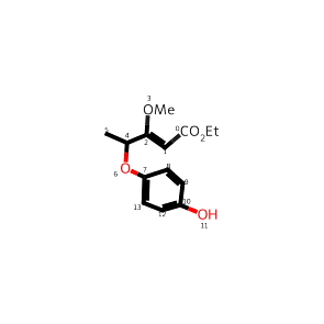 CCOC(=O)C=C(OC)C(C)Oc1ccc(O)cc1